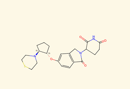 O=C1CCC(N2Cc3cc(O[C@H]4CCC[C@@H]4N4CCSCC4)ccc3C2=O)C(=O)N1